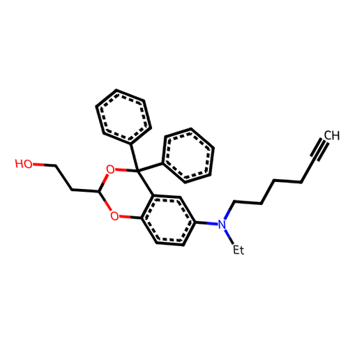 C#CCCCCN(CC)c1ccc2c(c1)C(c1ccccc1)(c1ccccc1)OC(CCO)O2